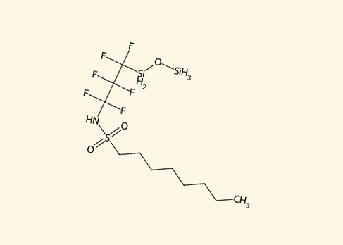 CCCCCCCCS(=O)(=O)NC(F)(F)C(F)(F)C(F)(F)[SiH2]O[SiH3]